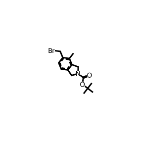 Cc1c(CBr)ccc2c1CN(C(=O)OC(C)(C)C)C2